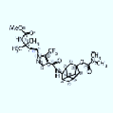 COC(=O)NC(C)(C)/C=C/n1ncc(C(=O)NC2C3CC4CC2CC(OC(=O)N(C)C)(C4)C3)c1C(F)(F)F